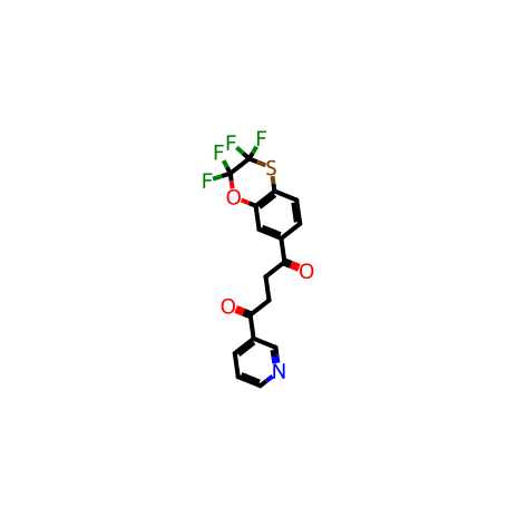 O=C(CCC(=O)c1ccc2c(c1)OC(F)(F)C(F)(F)S2)c1cccnc1